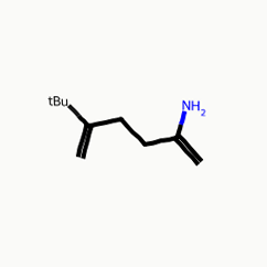 C=C(N)CCC(=C)C(C)(C)C